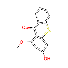 COc1cc(O)cc2sc3ccccc3c(=O)c12